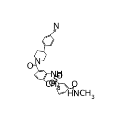 CNC(=O)c1cccc(S(=O)(=O)Nc2cc(C(=O)N3CCC(c4ccc(C#N)cc4)CC3)ccc2C)c1